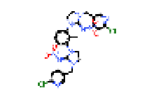 Cc1c(N2CCN(Cc3ccc(Cl)nc3)C2=N[N+](=O)[O-])cccc1N1CCN(Cc2ccc(Cl)nc2)C1=N[N+](=O)[O-]